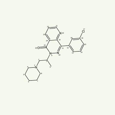 CC(CN1CCCCC1)n1nc(-c2cccc(Cl)c2)c2ncccc2c1=O